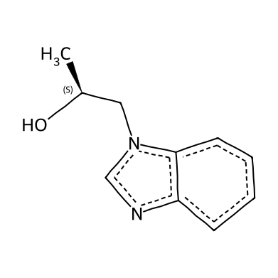 C[C@H](O)Cn1cnc2ccccc21